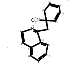 O=[N+]([O-])C1(Cc2nccc3ccccc23)C=CC=CC1